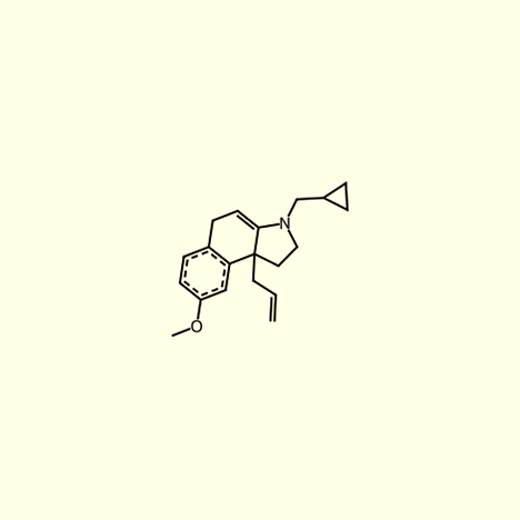 C=CCC12CCN(CC3CC3)C1=CCc1ccc(OC)cc12